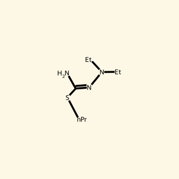 CCCSC(N)=NN(CC)CC